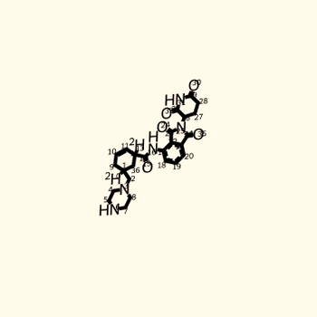 [2H]C1(CN2CCNCC2)CC=CC([2H])(C(=O)Nc2cccc3c2C(=O)N(C2CCC(=O)NC2=O)C3=O)C1